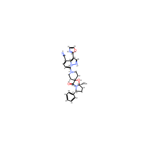 N#Cc1ccc(N2CCC3(CC2)O[C@@H]2CC[C@@H](c4ccccc4)N2C3=O)n2ncc(-c3ncco3)c12